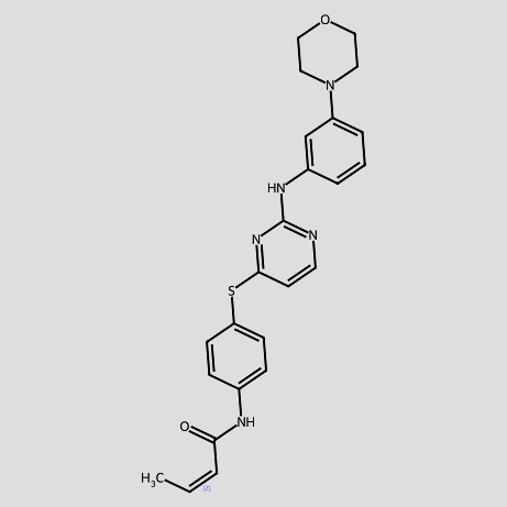 C/C=C\C(=O)Nc1ccc(Sc2ccnc(Nc3cccc(N4CCOCC4)c3)n2)cc1